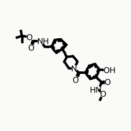 CONC(=O)c1cc(C(=O)N2CCC(c3cccc(CNC(=O)OC(C)(C)C)c3)CC2)ccc1O